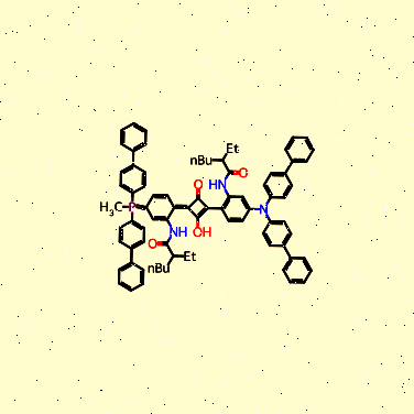 CCCCC(CC)C(=O)NC1=CC(=P(C)(c2ccc(-c3ccccc3)cc2)c2ccc(-c3ccccc3)cc2)C=C/C1=C1\C(=O)C(c2ccc(N(c3ccc(-c4ccccc4)cc3)c3ccc(-c4ccccc4)cc3)cc2NC(=O)C(CC)CCCC)=C1O